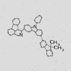 CC1(C)c2ccccc2-c2ccc(-c3ccc4c(c3)c3cc(-c5ncc6cccc7c6c5-c5ccccc5-7)ccc3n4-c3ccccc3)cc21